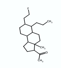 CCCC1C(CCF)CCC2C1CCC1(C)C(C(C)=O)CCC21